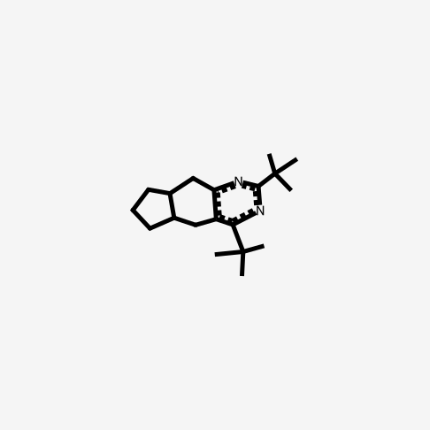 CC(C)(C)c1nc2c(c(C(C)(C)C)n1)CC1CCCC1C2